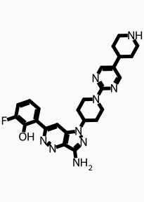 Nc1nn(C2CCN(c3ncc(C4CCNCC4)cn3)CC2)c2cc(-c3cccc(F)c3O)nnc12